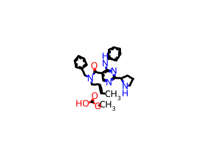 C/C=C/CN(Cc1ccccc1)C(=O)c1cnc(C2CCCN2)nc1Nc1ccccc1.COC(=O)O